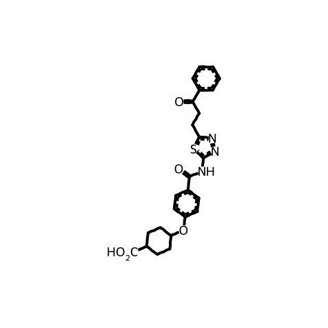 O=C(CCc1nnc(NC(=O)c2ccc(OC3CCC(C(=O)O)CC3)cc2)s1)c1ccccc1